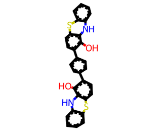 Oc1c(-c2ccc(-c3ccc4c(c3O)Nc3ccccc3S4)cc2)ccc2c1Nc1ccccc1S2